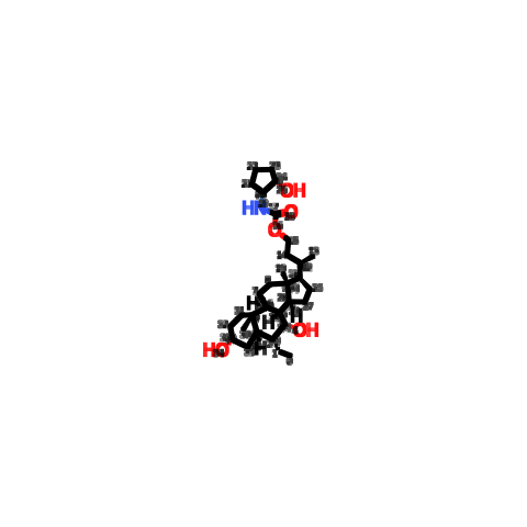 CC[C@H]1[C@@H](O)[C@@H]2[C@H](CC[C@]3(C)[C@@H]([C@H](C)CCOC(=O)N[C@@H]4CCC[C@@H]4O)CC[C@@H]23)[C@@]2(C)CC[C@@H](O)C[C@@H]12